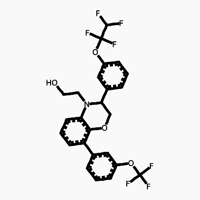 OCCN1c2cccc(-c3cccc(OC(F)(F)F)c3)c2OCC1c1cccc(OC(F)(F)C(F)F)c1